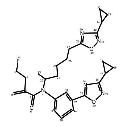 C=C(CCF)C(=O)N(c1cccc(-c2nc(C3CC3)no2)c1)C(C)CCCCc1nc(C2CC2)no1